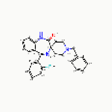 O=C1Nc2ccccc2C(c2ccccc2F)=NC12CCN(Cc1ccccc1)CC2